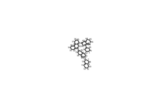 c1cc(-c2cc(-c3ccc4ccccc4c3)nc3ccc(-c4cc5ccccc5c5ccccc45)cc23)cc(-c2cccc3cccnc23)c1